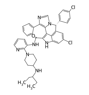 CCC(CC)NC1CCN(c2ncccc2NC(=O)c2[nH]c3cc(Cl)cc4c3c2-c2c(-c3ccccc3)ncn2[C@@H]4c2ccc(Cl)cc2)CC1